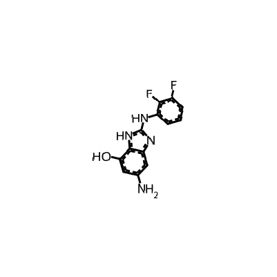 Nc1cc(O)c2[nH]c(Nc3cccc(F)c3F)nc2c1